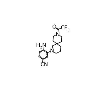 N#Cc1ccc(N)c(N2CCCC3(CCN(C(=O)C(F)(F)F)CC3)C2)c1